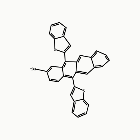 CC(C)(C)c1ccc2c(-c3cc4ccccc4s3)c3cc4ccccc4cc3c(-c3cc4ccccc4s3)c2c1